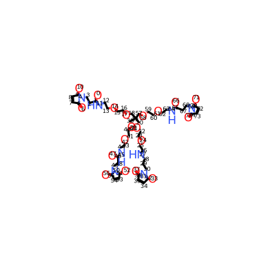 O=C(CCN1C(=O)C=CC1=O)NCCOCCOCC(COCCOCCNCCCN1C(=O)C=CC1=O)(COCCOCCNC(=O)CCN1C(=O)C=CC1=O)COCCOCCNC(=O)CCN1C(=O)C=CC1=O